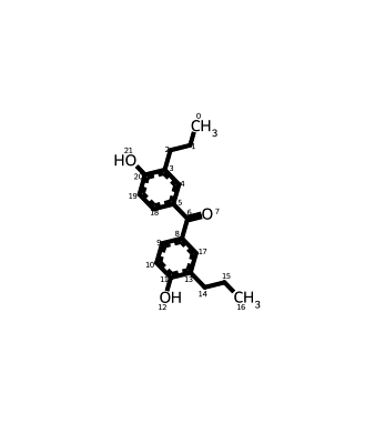 CCCc1cc(C(=O)c2ccc(O)c(CCC)c2)ccc1O